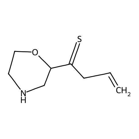 C=CCC(=S)C1CNCCO1